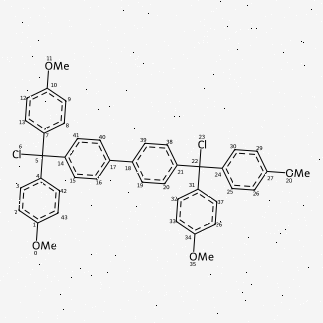 COc1ccc(C(Cl)(c2ccc(OC)cc2)c2ccc(-c3ccc(C(Cl)(c4ccc(OC)cc4)c4ccc(OC)cc4)cc3)cc2)cc1